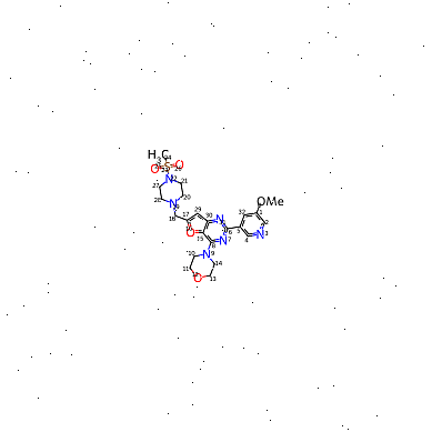 COc1cncc(-c2nc(N3CCOCC3)c3oc(CN4CCN(S(C)(=O)=O)CC4)cc3n2)c1